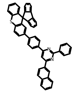 c1ccc(-c2nc(-c3ccc(-c4ccc5c(c4)C4(c6ccccc6S5)c5ccccc5-c5ccccc54)cc3)cc(-c3ccc4ccccc4c3)n2)cc1